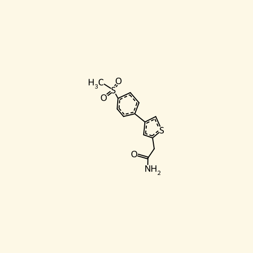 CS(=O)(=O)c1ccc(-c2csc(CC(N)=O)c2)cc1